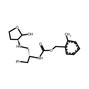 Cc1ccccc1COC(=O)N[C@@H](CN[C@H]1CCOC1O)CC(C)C